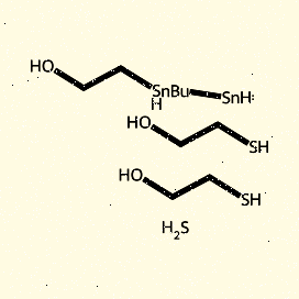 CCC[CH2][SnH].OCCS.OCCS.OCCS.S